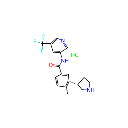 Cc1ccc(C(=O)Nc2cncc(C(F)(F)F)c2)cc1[C@@H]1CCNC1.Cl